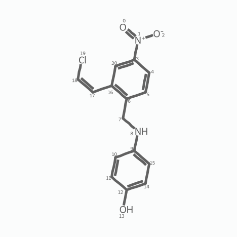 O=[N+]([O-])c1ccc(CNc2ccc(O)cc2)c(/C=C\Cl)c1